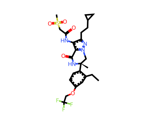 CCc1cc(OCC(F)(F)F)ccc1[C@@]1(C)Cn2nc(CCC3CC3)c(NC(=O)CS(C)(=O)=O)c2C(=O)N1